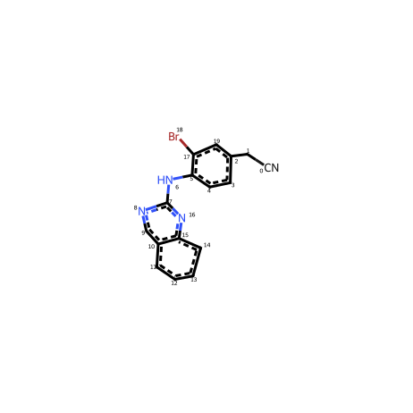 N#CCc1ccc(Nc2ncc3ccccc3n2)c(Br)c1